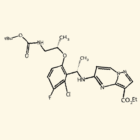 CCOC(=O)c1cnn2ccc(N[C@@H](C)c3c(O[C@@H](C)CNC(=O)OC(C)(C)C)ccc(F)c3Cl)nc12